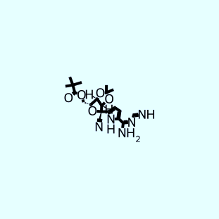 CC1(C)O[C@H]2[C@@H](O1)[C@](C#N)(c1ccc(/C(N)=N\C=N)[nH]1)O[C@@H]2COC(=O)C(C)(C)C